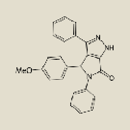 COc1ccc(C2c3c(-c4ccccc4)n[nH]c3C(=O)N2c2ccccc2)cc1